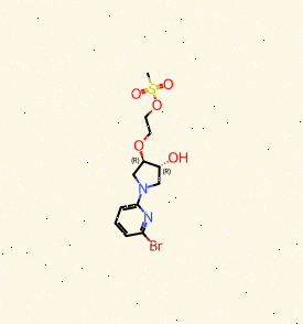 CS(=O)(=O)OCCO[C@@H]1CN(c2cccc(Br)n2)C[C@H]1O